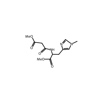 COC(=O)CC(=O)NC(Cc1cn(C)cn1)C(=O)OC